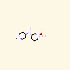 CN1CCC(N[C@H]2CCCN(C(=O)OC(C)(C)C)C2)CC1